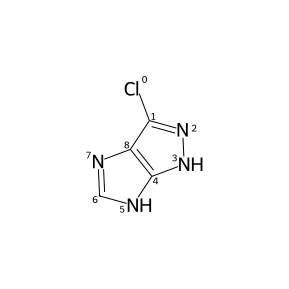 Clc1n[nH]c2[nH]cnc12